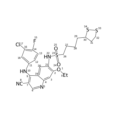 CCOc1cc2ncc(C#N)c(Nc3ccc(F)c(Cl)c3)c2cc1NS(=O)(=O)CCCCC1CCSS1